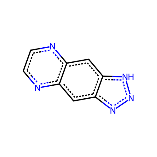 c1cnc2cc3[nH]nnc3cc2n1